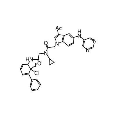 CC(=O)c1cn(CC(=O)N(CC(=O)NC2C=CC=C(c3ccccc3)C2(F)Cl)C2CC2)c2ccc(Nc3cncnc3)cc12